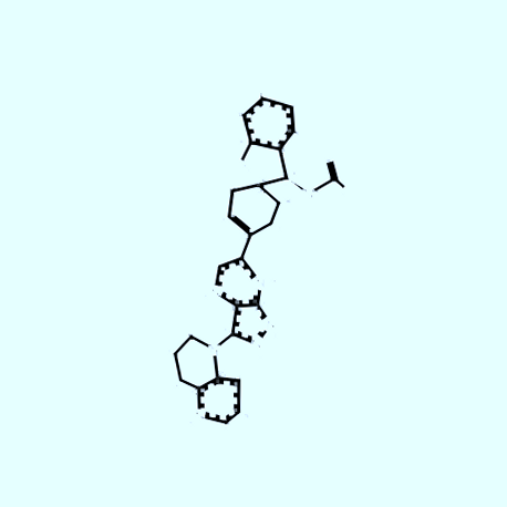 O=C(O)N[C@@H]1c2ccccc2C[C@]12CC=C(c1cnc3c(N4CCCc5ncccc54)n[nH]c3n1)CC2